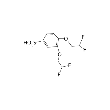 O=S(=O)(O)c1ccc(OCC(F)F)c(OCC(F)F)c1